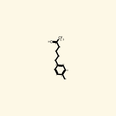 Cc1ccc(CCCCC(=O)C(F)(F)F)cc1